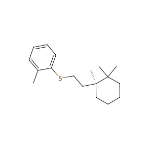 Cc1ccccc1SCC[C@]1(C)CCCCC1(C)C